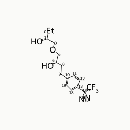 CCC(O)COCC(O)CCc1ccc(C2(C(F)(F)F)N=N2)cc1